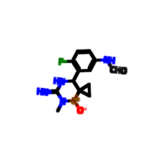 CN1C(=N)NC(c2cc(NC=O)ccc2F)C2(CC2)[S+]1[O-]